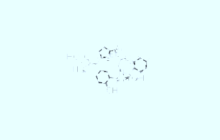 CCC1CN(Cc2cc([C@@H](c3ccc(C(C)=O)s3)[C@@H](C)C(=O)O)ccc2C)S(O)(O)c2ccccc2O1